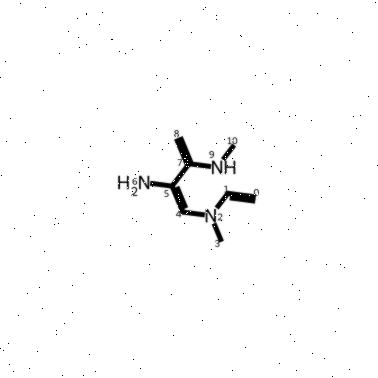 C=CN(C)/C=C(/N)C(=C)NC